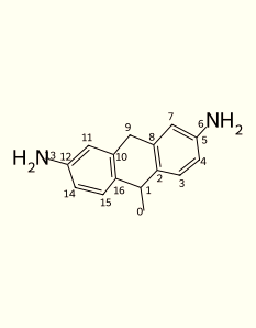 CC1c2ccc(N)cc2Cc2cc(N)ccc21